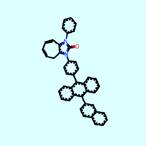 O=c1n(-c2ccccc2)c2c(n1-c1ccc(-c3c4ccccc4c(-c4ccc5ccccc5c4)c4ccccc34)cc1)CC=CC=C2